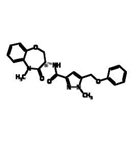 CN1C(=O)[C@@H](NC(=O)c2cc(COc3ccccc3)n(C)n2)COc2ccccc21